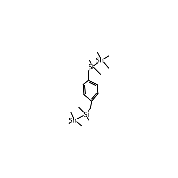 C[Si](C)(Cc1ccc(C[Si](C)(C)[Sn]([CH3])([CH3])[CH3])cc1)[Sn]([CH3])([CH3])[CH3]